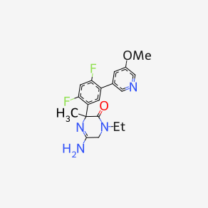 CCN1CC(N)=NC(C)(c2cc(-c3cncc(OC)c3)c(F)cc2F)C1=O